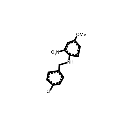 COc1ccc(NCc2ccc(Cl)cc2)c([N+](=O)[O-])c1